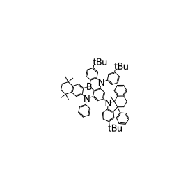 CC(C)(C)c1cccc(N2c3cc(C(C)(C)C)ccc3B3c4cc5c(cc4N(c4ccccc4)c4cc(N6c7ccc(C(C)(C)C)cc7C7(c8ccccc8)CCc8ccccc8C67C)cc2c43)C(C)(C)CCC5(C)C)c1